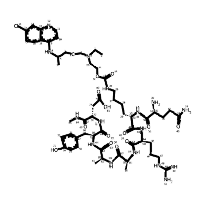 CCN(CCCC(C)Nc1ccnc2cc(Cl)ccc12)CCOC(=O)NCCCC[C@H](NC(=O)[C@@H](N)CCC(N)=O)C(=O)N[C@@H](CCCNC(=N)N)C(=O)N[C@@H](C)C(=O)N[C@@H](C)C(=O)N[C@@H](Cc1ccc(O)cc1)C(=O)N[C@@H](CC(=O)O)C(=O)NC